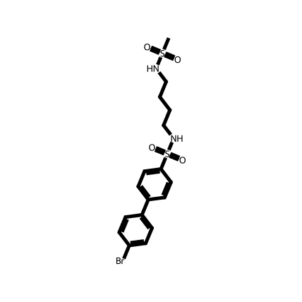 CS(=O)(=O)NCCCCNS(=O)(=O)c1ccc(-c2ccc(Br)cc2)cc1